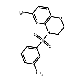 Cc1cccc(S(=O)(=O)N2CCOc3ccc(N)nc32)c1